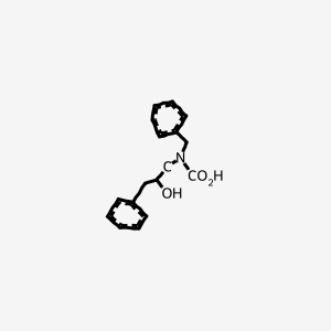 O=C(O)N(Cc1ccccc1)CC(O)Cc1ccccc1